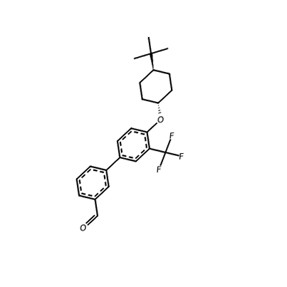 CC(C)(C)[C@H]1CC[C@H](Oc2ccc(-c3cccc(C=O)c3)cc2C(F)(F)F)CC1